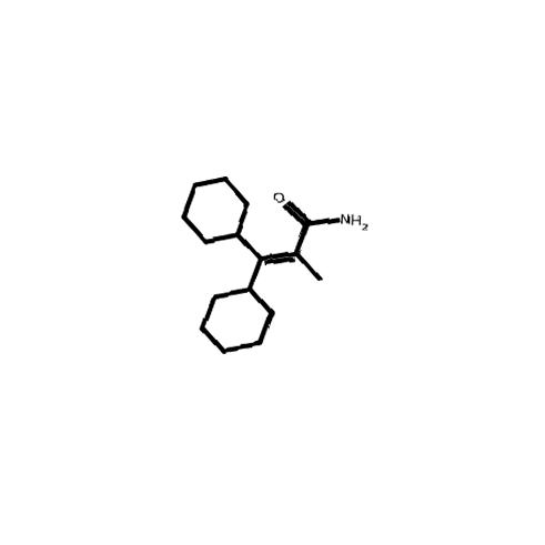 CC(C(N)=O)=C(C1CCCCC1)C1CCCCC1